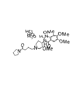 COc1cc(C(=O)N[C@@H]2CCN(CCCC(=O)N3CCCC3)C[C@@H]2OC)c(N)c(OC)c1OC.Cl.Cl.O